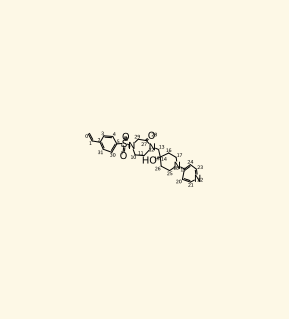 C=Cc1ccc(S(=O)(=O)N2CCN(CC3(O)CCN(c4ccncc4)CC3)C(=O)C2)cc1